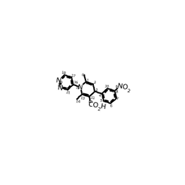 CC1=CC(c2cccc([N+](=O)[O-])c2)C(C(=O)O)=C(C)N1c1ccnnc1